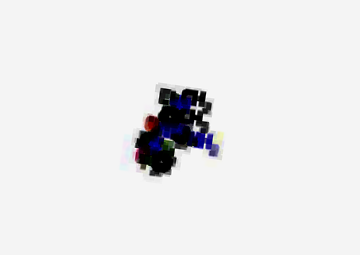 C=NN(CC)c1ccc(NC(=O)c2ccc(=O)n(-c3c(F)cccc3F)n2)c(N2CC[C@@H](N)C2)c1C